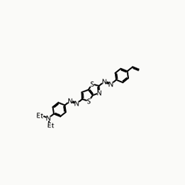 C=Cc1ccc(N=Nc2nc3sc(N=Nc4ccc(N(CC)CC)cc4)cc3s2)cc1